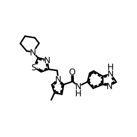 Cc1cc(C(=O)Nc2ccc3[nH]cnc3c2)n(Cc2csc(N3CCCCC3)n2)c1